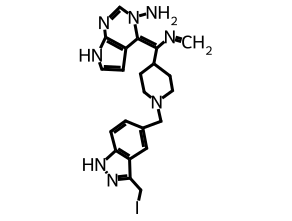 C=N/C(=C1/c2cc[nH]c2N=CN1N)C1CCN(Cc2ccc3[nH]nc(CI)c3c2)CC1